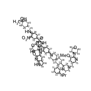 COc1cc(CN2CCN(c3ccccc3C(C)C)[C@@H](C3CCC4(CC3)CCN(c3ccc(C(=O)NS(=O)(=O)c5ccc(NC[C@H]6CC[C@](C)(O)CC6)c([N+](=O)[O-])c5)c(N5c6cc7cc[nH]c7nc6O[C@H]6COCC[C@@H]65)c3)CC4)C2)cnc1N1CCOCC1